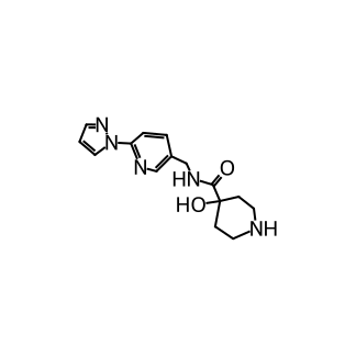 O=C(NCc1ccc(-n2cccn2)nc1)C1(O)CCNCC1